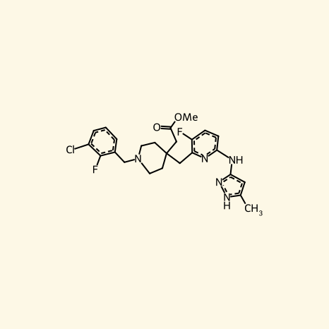 COC(=O)CC1(Cc2nc(Nc3cc(C)[nH]n3)ccc2F)CCN(Cc2cccc(Cl)c2F)CC1